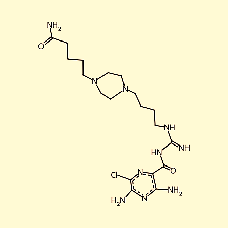 N=C(NCCCCN1CCN(CCCCC(N)=O)CC1)NC(=O)c1nc(Cl)c(N)nc1N